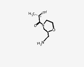 C[C@H](O)C(=O)N1CCOC(CN)C1